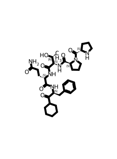 C[C@@H](O)[C@H](NC(=O)[C@@H]1CCCN1C(=O)[C@@H]1CCCN1)C(=O)N[C@@H](CCC(N)=O)C(=O)N[C@@H](Cc1ccccc1)C(=O)C1CCCCC1